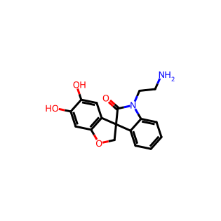 NCCN1C(=O)C2(COc3cc(O)c(O)cc32)c2ccccc21